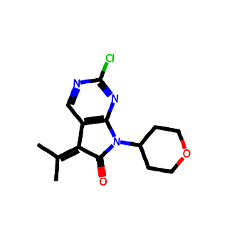 CC(C)=C1C(=O)N(C2CCOCC2)c2nc(Cl)ncc21